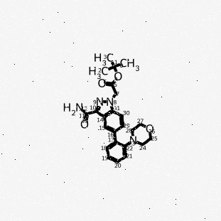 CC(C)(C)OC(=O)Cn1nc(C(N)=O)c2cc(-c3ccccc3N3CCOCC3)ccc21